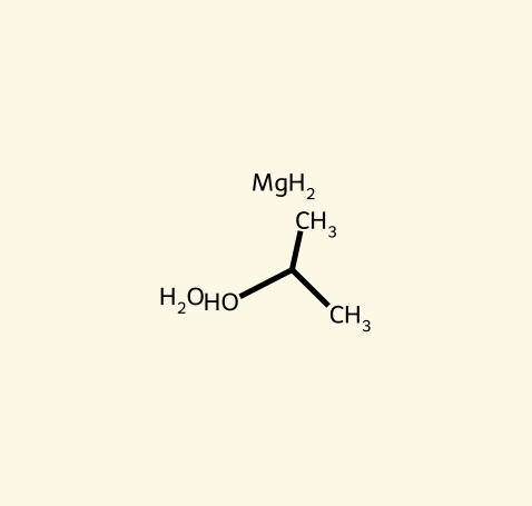 CC(C)O.O.[MgH2]